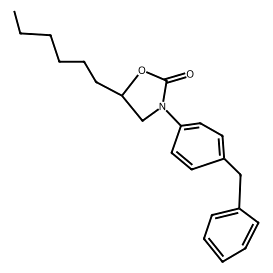 CCCCCCC1CN(c2ccc(Cc3ccccc3)cc2)C(=O)O1